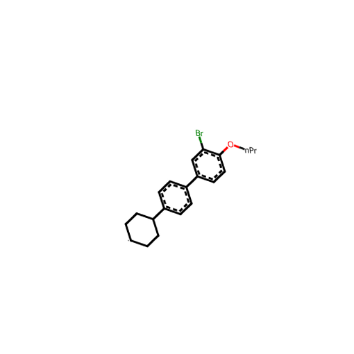 CCCOc1ccc(-c2ccc(C3CC[CH]CC3)cc2)cc1Br